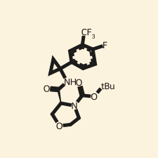 CC(C)(C)OC(=O)N1CCOC[C@H]1C(=O)NC1(c2ccc(F)c(C(F)(F)F)c2)CC1